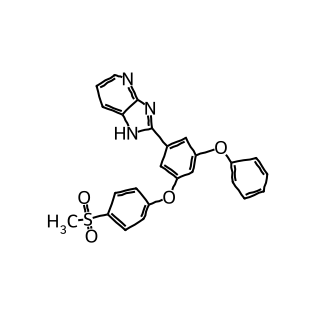 CS(=O)(=O)c1ccc(Oc2cc(Oc3ccccc3)cc(-c3nc4ncccc4[nH]3)c2)cc1